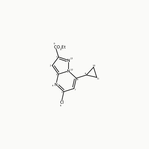 CCOC(=O)c1cc2nc(Cl)cc(C3CC3)n2n1